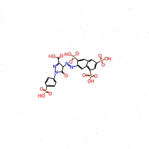 O=C(O)C1=NN(c2ccc(S(=O)(=O)O)cc2)C(=O)C1N=Nc1cc2c(S(=O)(=O)O)cc(S(=O)(=O)O)cc2cc1S(=O)(=O)O